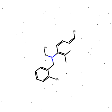 CC(C)=C(/C=C\C=C/C(C)C)N(Cc1ccccc1C(C)C)CC(C)C